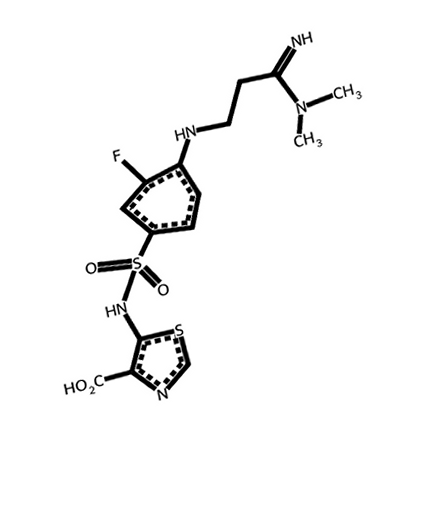 CN(C)C(=N)CCNc1ccc(S(=O)(=O)Nc2scnc2C(=O)O)cc1F